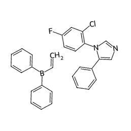 C=CB(c1ccccc1)c1ccccc1.Fc1ccc(-n2cncc2-c2ccccc2)c(Cl)c1